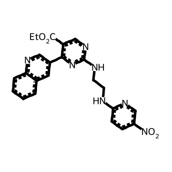 CCOC(=O)c1cnc(NCCNc2ccc([N+](=O)[O-])cn2)nc1-c1cnc2ccccc2c1